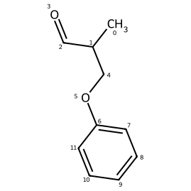 CC(C=O)COc1ccccc1